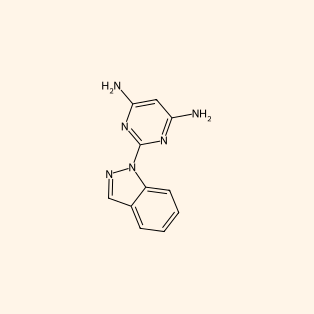 Nc1cc(N)nc(-n2ncc3ccccc32)n1